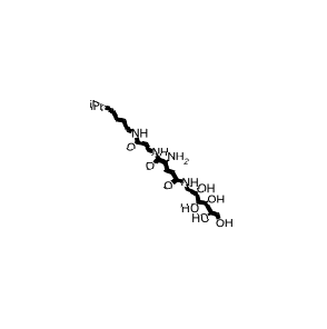 CC(C)CCCCNC(=O)CCNC(=O)[C@@H](N)CCC(=O)NC[C@H](O)[C@@H](O)[C@H](O)[C@H](O)CO